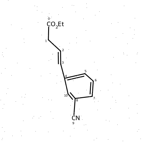 CCOC(=O)C/C=C/c1cccc(C#N)c1